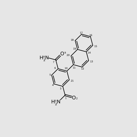 NC(=O)c1ccc(C(N)=O)c(-c2ccc3ccccc3c2)c1